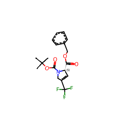 CC(C)(C)OC(=O)N1CC(C(F)(F)F)=C[C@H]1C(=O)OCc1ccccc1